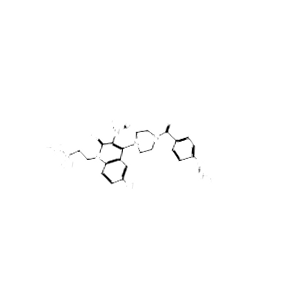 COc1ccc(C(=O)N2CCN(c3c([N+](=O)[O-])c(=O)n(CCN(C)C)c4ccc(Cl)cc34)CC2)cc1